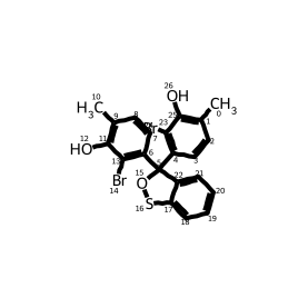 Cc1ccc(C2(c3ccc(C)c(O)c3Br)OSc3ccccc32)c(Br)c1O